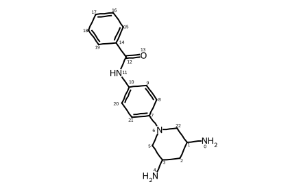 NC1CC(N)CN(c2ccc(NC(=O)c3ccccc3)cc2)C1